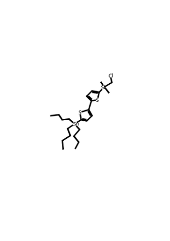 CCC[CH2][Sn]([CH2]CCC)([CH2]CCC)[c]1ccc(-c2ccc([Si](C)(C)CCl)s2)s1